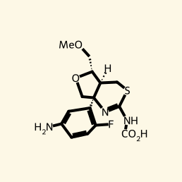 COC[C@H]1OC[C@]2(c3cc(N)ccc3F)N=C(NC(=O)O)SC[C@H]12